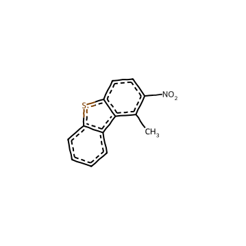 Cc1c([N+](=O)[O-])ccc2sc3ccccc3c12